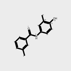 Cc1cccc(C(=O)Nc2ccc(O)c(C)c2)c1